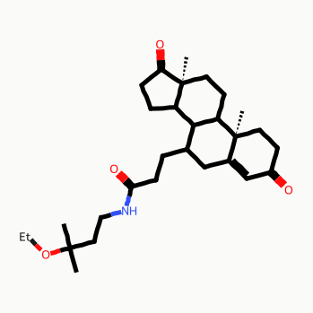 CCOC(C)(C)CCNC(=O)CCC1CC2=CC(=O)CC[C@]2(C)C2CC[C@]3(C)C(=O)CCC3C12